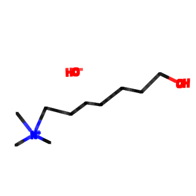 C[N+](C)(C)CCCCCCCO.[OH-]